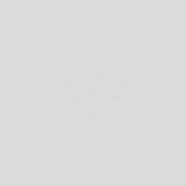 O=C(O)[C@@H](O)[C@@H](O)[C@H](O)[C@@H](O)C(=O)O.O=C(O)[C@H](O)[C@@H](O)[C@H](O)[C@H](O)CO